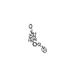 C(=NNc1ncnc2c(Nc3cccc(OCCN4CCOCC4)c3)ncnc12)c1ccccc1